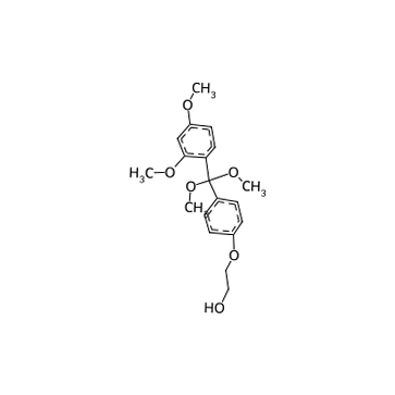 COc1ccc(C(OC)(OC)c2ccc(OCCO)cc2)c(OC)c1